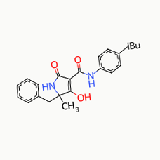 CCC(C)c1ccc(NC(=O)C2=C(O)C(C)(Cc3ccccc3)NC2=O)cc1